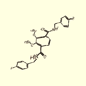 CCCCOc1c(C(=O)NCc2ccc(F)cc2)ccc(C(=O)NCc2ccc(F)cc2)c1OCCCC